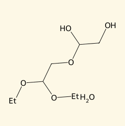 CCOC(COC(O)CO)OCC.O